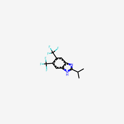 CC(C)c1nc2cc(C(F)(F)F)c(C(F)(F)F)cc2[nH]1